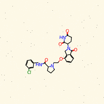 O=C1CCC(N2Cc3c(OCCN4CCCC4C(=O)NCc4cccc(Cl)c4)cccc3C2=O)C(=O)N1